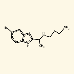 CC(NCCCN)c1cc2cc(Br)ccc2[nH]1